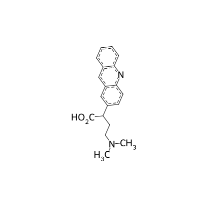 CN(C)CCC(C(=O)O)c1ccc2nc3ccccc3cc2c1